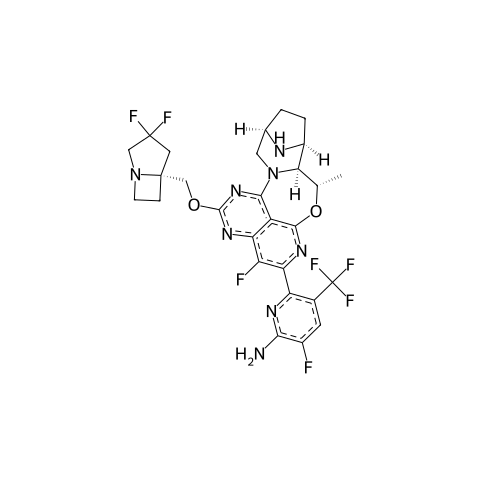 C[C@@H]1Oc2nc(-c3nc(N)c(F)cc3C(F)(F)F)c(F)c3nc(OC[C@]45CCN4CC(F)(F)C5)nc(c23)N2C[C@H]3CC[C@H](N3)[C@@H]12